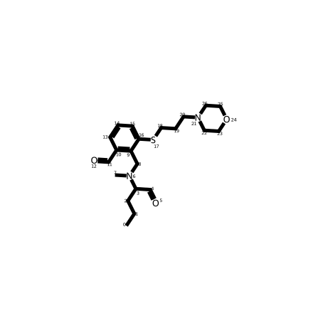 CCCC(C=O)N(C)Cc1c(C=O)cccc1SCCCN1CCOCC1